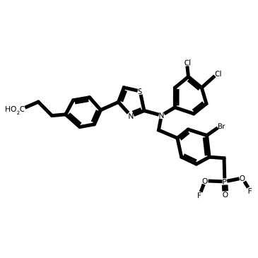 O=C(O)CCc1ccc(-c2csc(N(Cc3ccc(CP(=O)(OF)OF)c(Br)c3)c3ccc(Cl)c(Cl)c3)n2)cc1